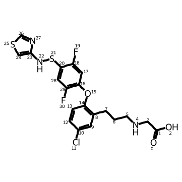 O=C(O)CNCCCc1cc(Cl)ccc1Oc1cc(F)c(SNc2cscn2)cc1F